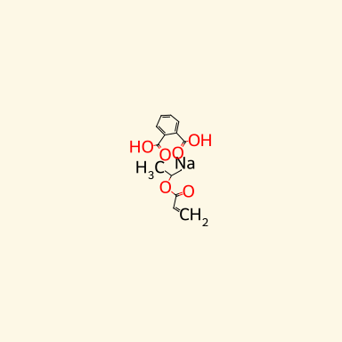 C=CC(=O)OC(C)[CH2][Na].O=C(O)c1ccccc1C(=O)O